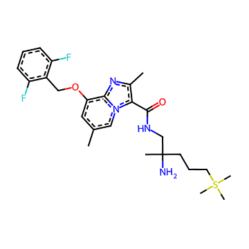 Cc1cc(OCc2c(F)cccc2F)c2nc(C)c(C(=O)NCC(C)(N)CCCS(C)(C)C)n2c1